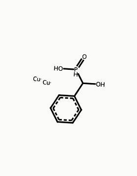 O=[PH](O)C(O)c1ccccc1.[Cu].[Cu]